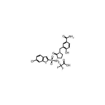 NC(=O)c1ccc(O)c(CN2CC[C@H](NS(=O)(=O)c3cc4ccc(Cl)cc4s3)C2=O)c1.O=C(O)C(F)(F)F